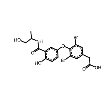 CC(CO)NC(=O)c1cc(Oc2c(Br)cc(CC(=O)O)cc2Br)ccc1O